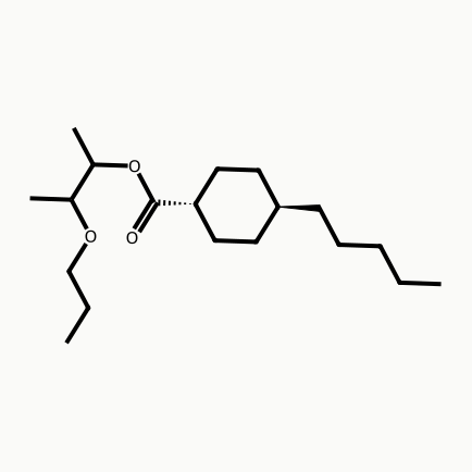 CCCCC[C@H]1CC[C@H](C(=O)OC(C)C(C)OCCC)CC1